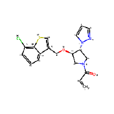 C=CC(=O)N1C[C@@H](n2cccn2)[C@H](OCc2csc3c(Cl)cccc23)C1